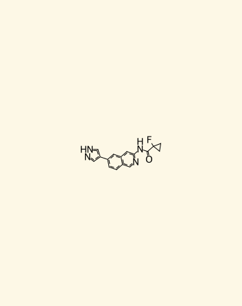 O=C(Nc1cc2cc(-c3cn[nH]c3)ccc2cn1)C1(F)CC1